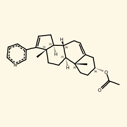 CC(=O)O[C@@H]1CC[C@@]2(C)C(=CC[C@@H]3[C@@H]2CC[C@]2(C)C(c4cccnc4)=CC[C@@H]32)C1